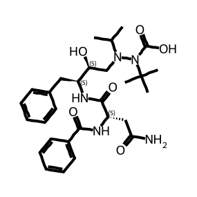 CC(C)N(C[C@H](O)[C@H](Cc1ccccc1)NC(=O)[C@H](CC(N)=O)NC(=O)c1ccccc1)N(C(=O)O)C(C)(C)C